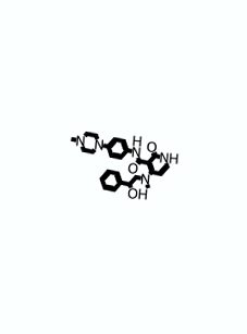 CN1CCN(c2ccc(NC(=O)c3c(N(C)CC(O)c4ccccc4)cc[nH]c3=O)cc2)CC1